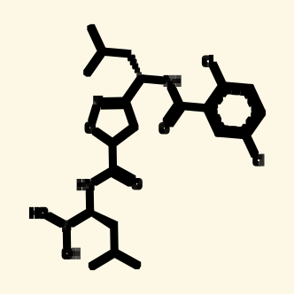 CC(C)C[C@H](NC(=O)C1CC([C@H](CC(C)C)NC(=O)c2cc(Cl)ccc2Cl)=NO1)B(O)O